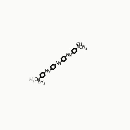 CN(C)c1ccc(N=Nc2ccc(N=Nc3ccc(N=Nc4ccc(N(C)C)cc4)cc3)cc2)cc1